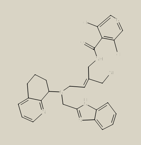 NCC(=CCN(Cc1nc2ccccc2[nH]1)C1CCCc2cccnc21)CNC(=O)c1c(Cl)cncc1Cl